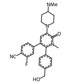 CNC1CCN(c2cc(-c3ccc(C#N)c(F)c3)c(-c3ccc(CO)cc3)n(C)c2=O)CC1